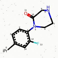 CC(C)c1ccc(N2CCNCC2=O)c(F)c1